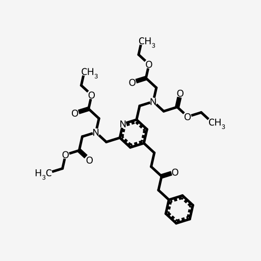 CCOC(=O)CN(CC(=O)OCC)Cc1cc(CCC(=O)Cc2ccccc2)cc(CN(CC(=O)OCC)CC(=O)OCC)n1